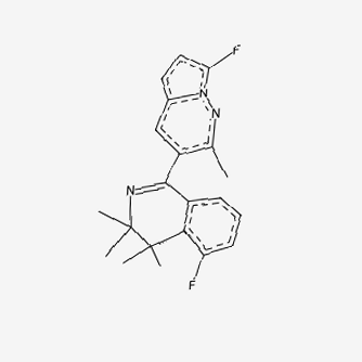 Cc1nn2c(F)ccc2cc1C1=NC(C)(C)C(C)(C)c2c(F)cccc21